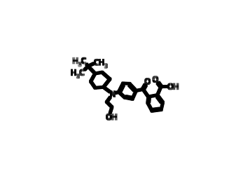 CC(C)(C)C1CCC(N(CCO)c2ccc(C(=O)c3ccccc3C(=O)O)cc2)CC1